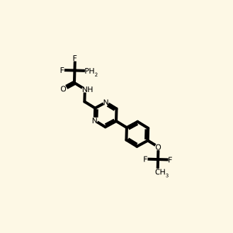 CC(F)(F)Oc1ccc(-c2cnc(CNC(=O)C(F)(F)P)nc2)cc1